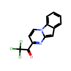 O=C(c1ccn2c(cc3ccccc32)n1)C(Cl)(Cl)Cl